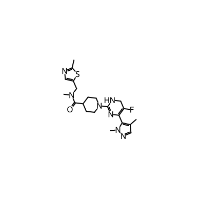 Cc1ncc(CN(C)C(=O)C2CCN(C3=NC(c4c(C)cnn4C)=C(F)CN3)CC2)s1